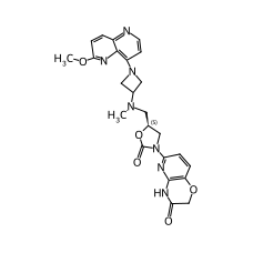 COc1ccc2nccc(N3CC(N(C)C[C@H]4CN(c5ccc6c(n5)NC(=O)CO6)C(=O)O4)C3)c2n1